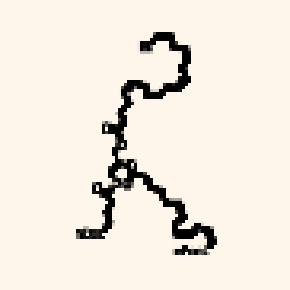 CC/C=C\C/C=C\C/C=C\C/C=C\C/C=C\CCCC(=O)OC[C@H](COC(=O)CCCCCCCCCCCCC)OC(=O)CCCC/C=C\C/C=C\C/C=C\CCCCC